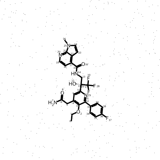 CCOc1c(CC(N)=O)cc([C@@](O)(CNC(=O)c2ccnc3c2ccn3C)C(F)(F)F)nc1-c1ccc(F)cc1